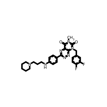 Cn1c(=O)c2nc(-c3ccc(NCCCN4CCCCC4)cc3)nnc2n(Cc2ccc(F)c(F)c2)c1=O